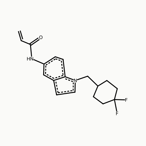 C=CC(=O)Nc1ccc2c(ccn2CC2CCC(F)(F)CC2)c1